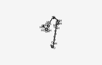 C[C@H](NC(=O)CCCn1cc(CCCCNC(=S)Nc2ccc(O[C@H]3O[C@H](CCP(=O)(O)O)[C@@H](O)[C@H](O)[C@@H]3O)cc2)nn1)C(=O)N[C@@H](C)C(=O)N[C@@H](C)C(=O)NCCOCCOCCOCCOCCC(=O)NCCN1C(=O)C=CC1=O